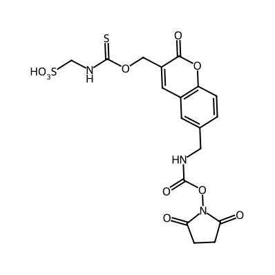 O=C(NCc1ccc2oc(=O)c(COC(=S)NCS(=O)(=O)O)cc2c1)ON1C(=O)CCC1=O